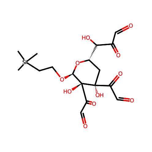 C[Si](C)(C)CCO[C@H]1O[C@H](C(O)C(=O)C=O)C[C@@](O)(C(=O)C=O)[C@]1(O)C(=O)C=O